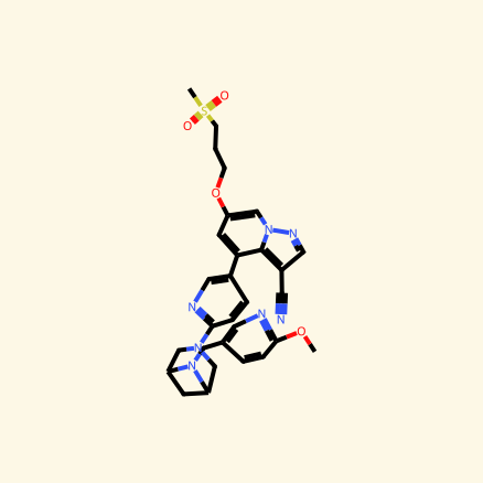 COc1ccc(CN2C3CC2CN(c2ccc(-c4cc(OCCCS(C)(=O)=O)cn5ncc(C#N)c45)cn2)C3)cn1